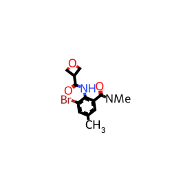 CNC(=O)c1cc(C)cc(Br)c1NC(=O)C1COC1